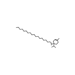 CCCCCCCCCCCCCCCCCCSC1(C(C)C)CC=C(C)CC1